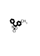 Cc1ccc(-c2oc(Cl)nc2-c2ccccc2)cc1